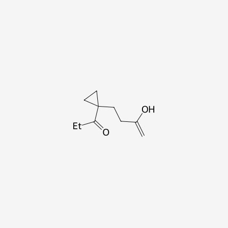 C=C(O)CCC1(C(=O)CC)CC1